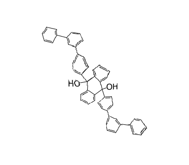 OC1(c2ccc(-c3cccc(-c4ccccc4)c3)cc2)c2ccccc2C(O)(c2ccc(-c3cccc(-c4ccccc4)c3)cc2)c2ccccc21